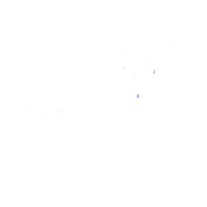 C[C@H](NC(=O)c1cc(F)cc(CN2C(=N)N[C@](C)(C3CC3)CC2=O)c1)c1ccccc1